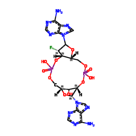 Nc1ncnc2c1ncn2C1O[C@@H]2COP(=O)(O)O[C@H]3C(O)[C@@H](COP(=O)(O)O[C@@H]2[C@@H]1F)O[C@H]3n1cnc2c(N)ncnc21